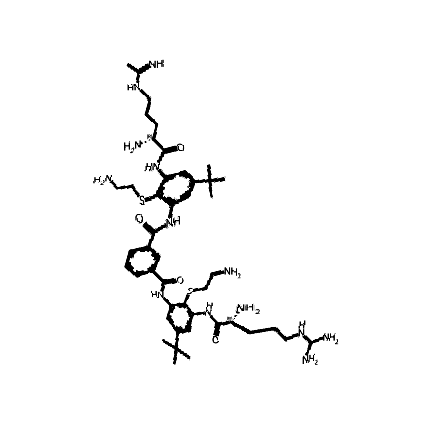 CC(=N)NCCC[C@@H](N)C(=O)Nc1cc(C(C)(C)C)cc(NC(=O)c2cccc(C(=O)Nc3cc(C(C)(C)C)cc(NC(=O)[C@H](N)CCCNC(N)N)c3SCCN)c2)c1SCCN